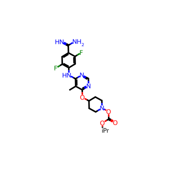 Cc1c(Nc2cc(F)c(C(=N)N)cc2F)ncnc1OC1CCN(OC(=O)OC(C)C)CC1